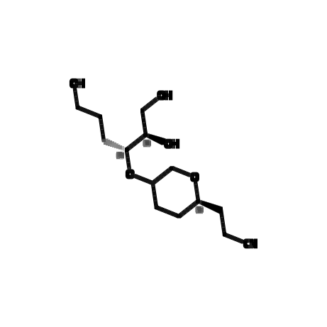 N#CCC[C@H]1CCC(O[C@H](CCCO)[C@H](O)CO)CO1